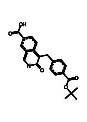 CC(C)(C)OC(=O)c1ccc(CC2=c3ccc(C(=O)O)cc3=C[N]C2=O)cc1